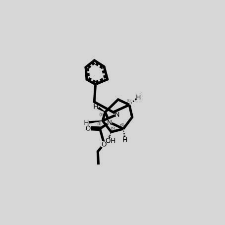 CCOC(=O)N1[C@H]2C[C@@H]3C[C@H]1[C@@H]([C@H]2O)N(Cc1ccccc1)C3